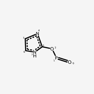 O=POc1ncc[nH]1